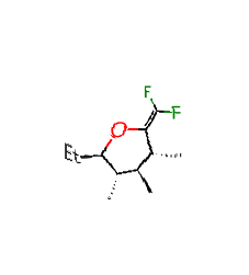 CC[C@H]1OC(=C(F)F)[C@H](C)[C@@H](C)[C@@H]1C